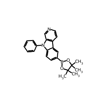 CC1(C)OB(c2ccc3c(c2)c2ccncc2n3-c2ccccc2)OC1(C)C